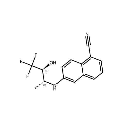 C[C@@H](Nc1ccc2c(C#N)cccc2c1)[C@H](O)C(F)(F)F